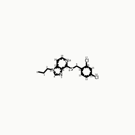 CCCn1cnc2c(SCc3ccc(Cl)cc3Cl)nccc21